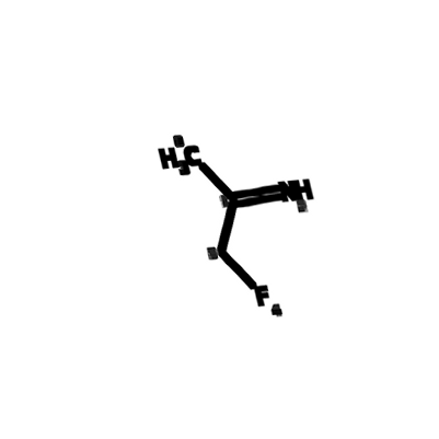 CC(=N)CF